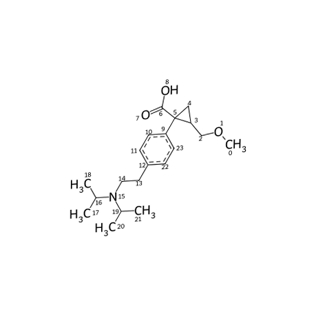 COCC1CC1(C(=O)O)c1ccc(CCN(C(C)C)C(C)C)cc1